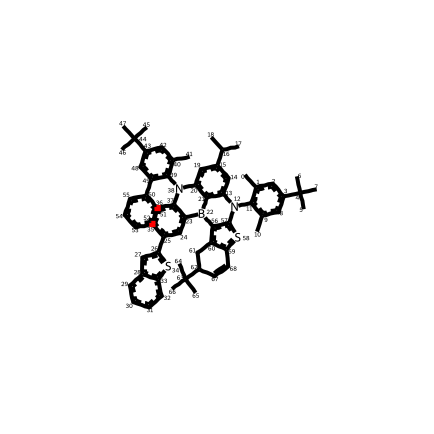 Cc1cc(C(C)(C)C)cc(C)c1N1c2cc(C(C)C)cc3c2B(c2cc(-c4cc5ccccc5s4)ccc2N3c2c(C)cc(C(C)(C)C)cc2-c2ccccc2)c2c1sc1c2CC(C(C)(C)C)C=C1